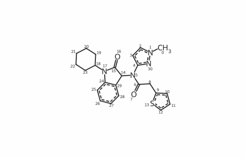 Cn1ccc(N(C(=O)Cc2cccs2)C2C(=O)N(C3CCCCC3)c3ccccc32)n1